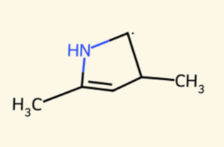 CC1=CC(C)[CH]N1